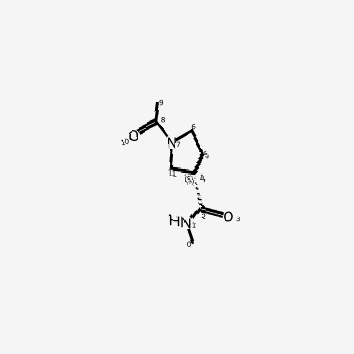 CNC(=O)[C@H]1CCN(C(C)=O)C1